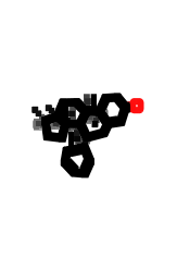 C[C@H]1CC[C@H]2[C@@H]3[C@@H](c4ccccc4)CC4=CC(=O)CC[C@]4(C)[C@H]3CC[C@]12C